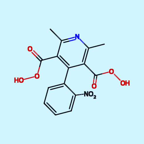 Cc1nc(C)c(C(=O)OO)c(-c2ccccc2[N+](=O)[O-])c1C(=O)OO